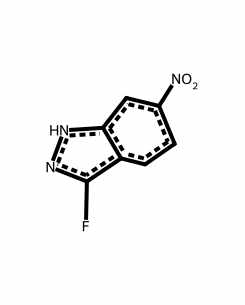 O=[N+]([O-])c1ccc2c(F)n[nH]c2c1